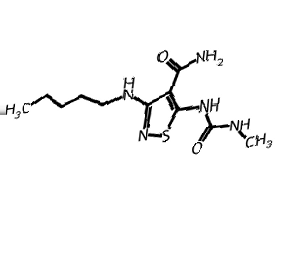 CCCCCNc1nsc(NC(=O)NC)c1C(N)=O